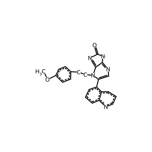 COc1ccc(CCN2C(c3cccc4ncccc34)=CN=C3[N]C(=O)N=C32)cc1